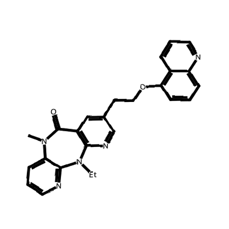 CCN1c2ncc(CCOc3cccc4ncccc34)cc2C(=O)N(C)c2cccnc21